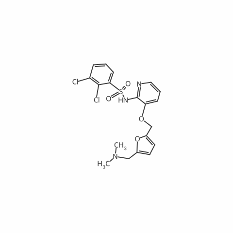 CN(C)Cc1ccc(COc2cccnc2NS(=O)(=O)c2cccc(Cl)c2Cl)o1